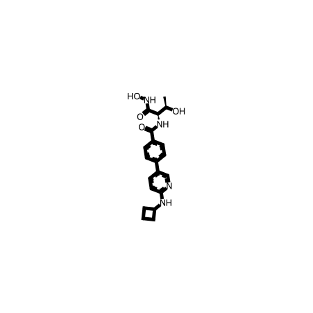 C[C@@H](O)[C@H](NC(=O)c1ccc(-c2ccc(NC3CCC3)nc2)cc1)C(=O)NO